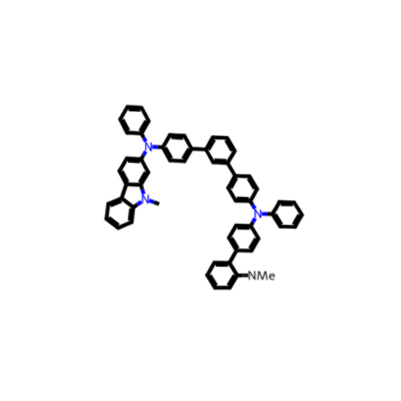 CNc1ccccc1-c1ccc(N(c2ccccc2)c2ccc(-c3cccc(-c4ccc(N(c5ccccc5)c5ccc6c7ccccc7n(C)c6c5)cc4)c3)cc2)cc1